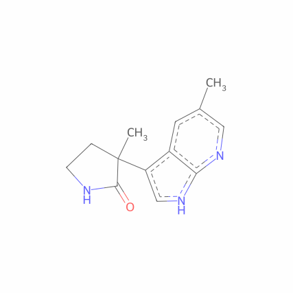 Cc1cnc2[nH]cc(C3(C)CCNC3=O)c2c1